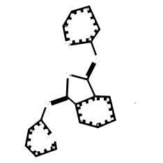 [Fe].c1ccc(/N=C2\N/C(=N/c3ccccn3)c3ccccc32)nc1